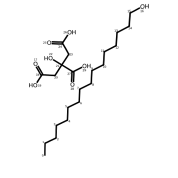 CCCCCCCCCCCCCCCCO.O=C(O)CC(O)(CC(=O)O)C(=O)O